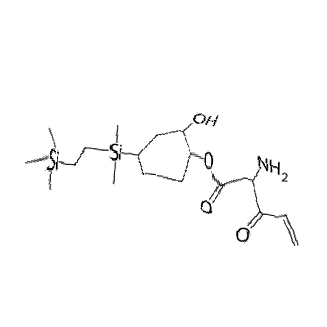 C=CC(=O)C(N)C(=O)OC1CCC([Si](C)(C)CC[Si](C)(C)C)CC1O